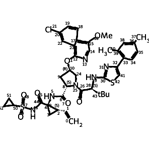 C=C[C@@H]1C[C@]1(NC(=O)[C@@H]1C[C@@H](Oc2ncc(OC)c3ccc(Cl)cc23)CN1C(=O)[C@@H](Nc1nc(-c2ccc(C)cc2C)cs1)C(C)(C)C)C(=O)NS(=O)(=O)C1CC1